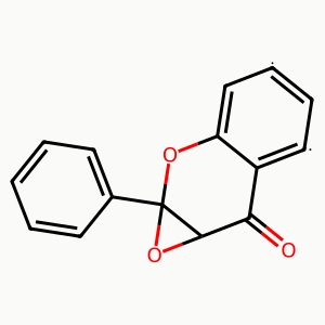 O=C1c2[c]c[c]cc2OC2(c3ccccc3)OC12